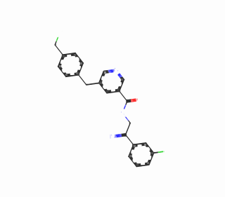 N=C(CNC(=O)c1cncc(Cc2ccc(CCl)cc2)c1)c1cccc(Cl)c1